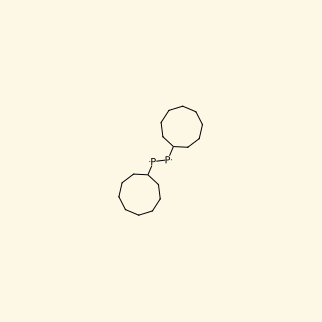 C1CCCCC([P][P]C2CCCCCCCC2)CCC1